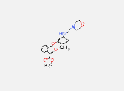 CO/C=C(/C(=O)OC)c1ccccc1COc1cccc(NCCN2CCOCC2)c1